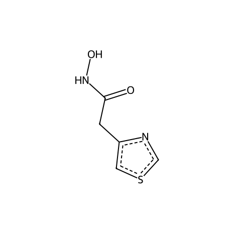 O=C(Cc1cscn1)NO